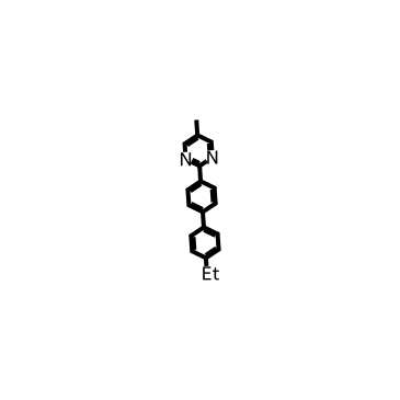 CCc1ccc(-c2ccc(-c3ncc(C)cn3)cc2)cc1